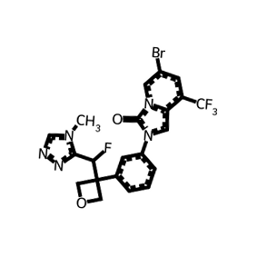 Cn1cnnc1C(F)C1(c2cccc(-n3cc4c(C(F)(F)F)cc(Br)cn4c3=O)c2)COC1